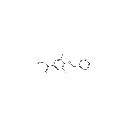 Cc1cc(C(=O)CBr)cc(C)c1OCc1ccccc1